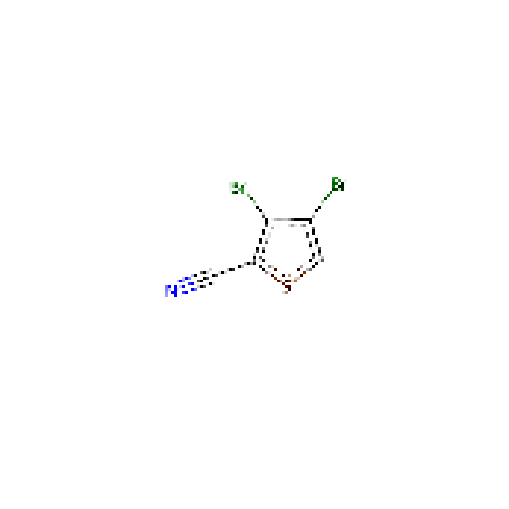 N#Cc1scc(Br)c1Br